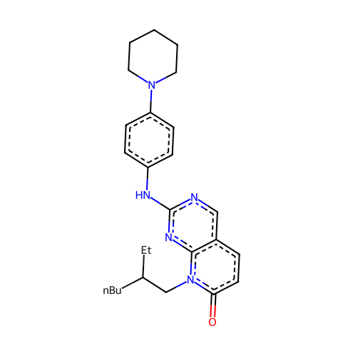 CCCCC(CC)Cn1c(=O)ccc2cnc(Nc3ccc(N4CCCCC4)cc3)nc21